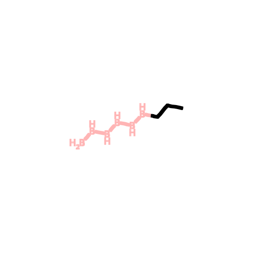 BBBBBBCCC